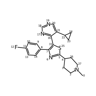 CN1CCC(c2nc(-c3ccc(F)cc3)c(-c3n[c]ncc3C3CC3)s2)CC1